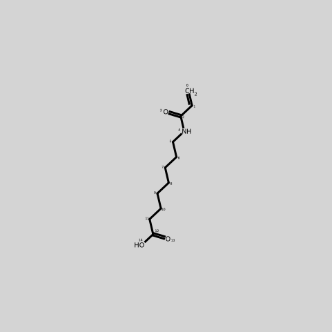 C=CC(=O)NCCCCCCCC(=O)O